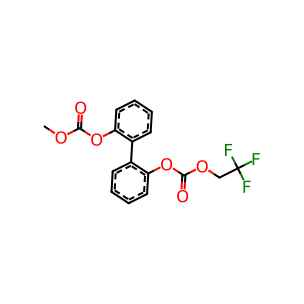 COC(=O)Oc1ccccc1-c1ccccc1OC(=O)OCC(F)(F)F